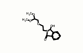 COC(COCCN1C(=O)c2ccccc2C1O)OC